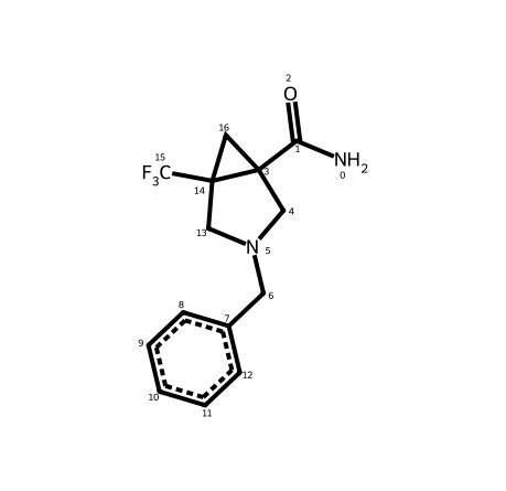 NC(=O)C12CN(Cc3ccccc3)CC1(C(F)(F)F)C2